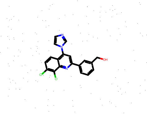 OCc1cccc(-c2cc(-n3ccnc3)c3ccc(Cl)c(Cl)c3n2)c1